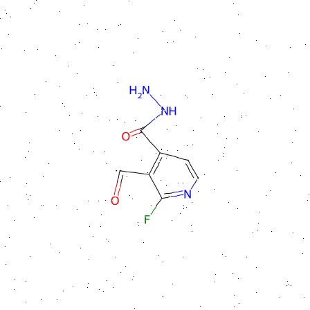 NNC(=O)c1ccnc(F)c1[C]=O